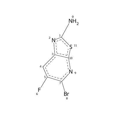 Nc1nc2cc(F)c(Br)nc2s1